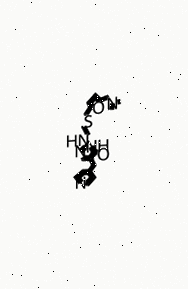 CN(C)Cc1ccc(CSCCNc2ncc(Cc3ccncc3)c(=O)[nH]2)o1